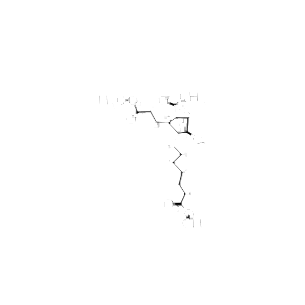 COC(=O)CCCCCC[C@H]1C(=O)C[C@@H](C(C)=O)[C@@H]1CCC(=O)OC